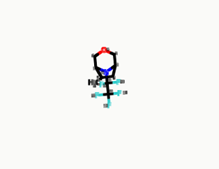 C[C@@H]1CC2COCC1N2C(F)(F)C(F)(F)F